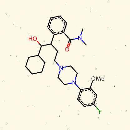 COc1cc(F)ccc1N1CCN(CCC(c2ccccc2C(=O)N(C)C)C(O)C2CCCCC2)CC1